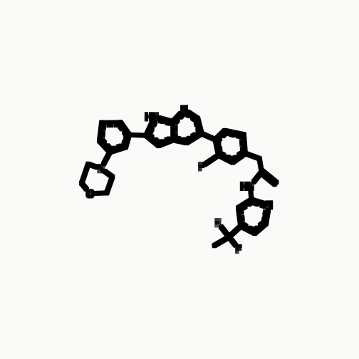 C=C(Cc1ccc(-c2cnc3[nH]c(-c4cccc(N5CCOCC5)c4)cc3c2)c(F)c1)Nc1cc(C(C)(F)F)ccn1